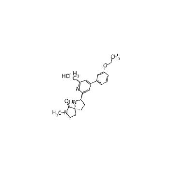 CCOc1cccc(-c2cc(C)nc([C@H]3CC[C@@]4(CCN(C)C4=O)N3)c2)c1.Cl